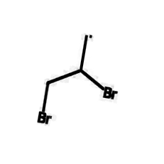 [CH2]C(Br)CBr